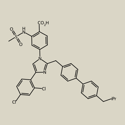 CC(C)Cc1ccc(-c2ccc(Cc3nc(-c4ccc(Cl)cc4Cl)cn3-c3ccc(C(=O)O)c(NS(C)(=O)=O)c3)cc2)cc1